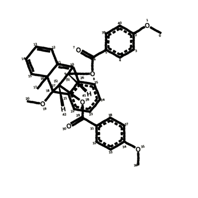 COc1ccc(C(=O)O[C@H]2C3=C4C=CC=CC4(C)C(OC)(c4ccccc43)[C@H]2OC(=O)c2ccc(OC)cc2)cc1